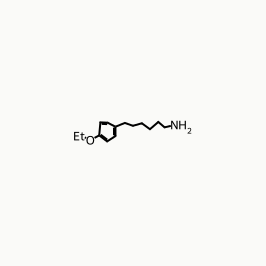 CCOc1ccc(CCCCCCN)cc1